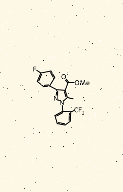 COC(=O)c1c(-c2ccc(F)cc2)nn(-c2ccccc2C(F)(F)F)c1C